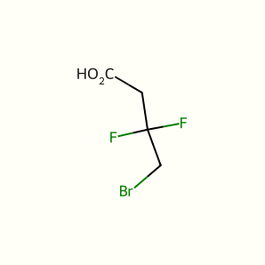 O=C(O)CC(F)(F)CBr